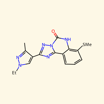 CCn1cc(-c2nc3c4cccc(SC)c4[nH]c(=O)n3n2)c(C)n1